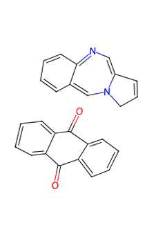 C1=CC2=CN=c3ccccc3=CN2C1.O=C1c2ccccc2C(=O)c2ccccc21